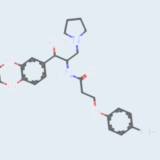 Cc1ccc(OCCC(=O)NC(CN2CCCC2)C(O)c2ccc3c(c2)OCCO3)cc1